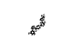 O=C(N1CCN(c2ncc(F)c(-n3ccc(C(F)(F)F)n3)n2)CC1)N1N=CC[C@H]1c1cc(F)cc(F)c1